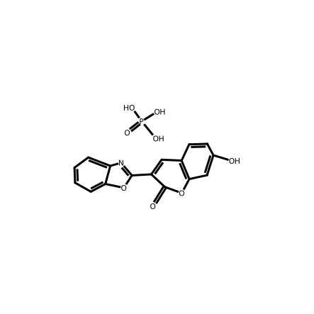 O=P(O)(O)O.O=c1oc2cc(O)ccc2cc1-c1nc2ccccc2o1